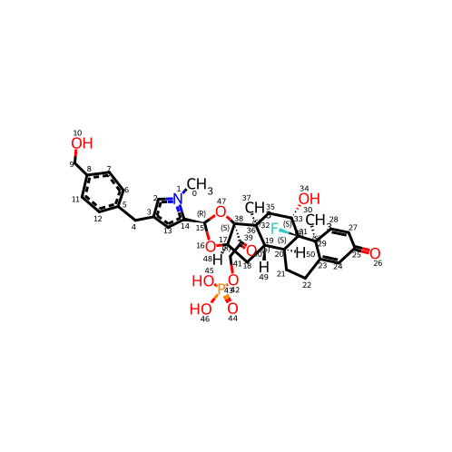 Cn1cc(Cc2ccc(CO)cc2)cc1[C@@H]1O[C@@H]2C[C@H]3[C@@H]4CCC5=CC(=O)C=C[C@]5(C)[C@@]4(F)[C@@H](O)C[C@]3(C)[C@]2(C(=O)COP(=O)(O)O)O1